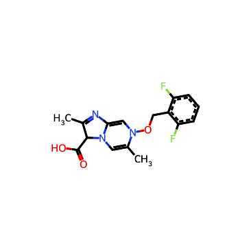 CC1=CN2C(=CN1OCc1c(F)cccc1F)N=C(C)C2C(=O)O